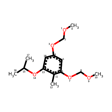 COCOc1cc(OCOC)c(C)c(OC(C)C)c1